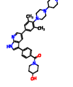 Cc1cc(-c2cnc3[nH]cc(-c4ccc(C(=O)N5CCC(O)CC5)cc4)c3c2)cc(C)c1N1CCN(C2CCN(C)CC2)CC1